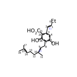 CC/C=C/c1cc(O)c(C/C=C(\C)CCC=C(C)C)c(O)c1C(=O)O